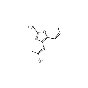 Bc1nc(/N=C(\C)S)c(/C=C\C)o1